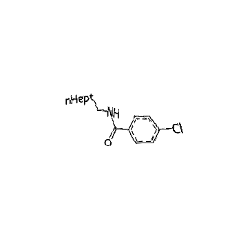 CCCCCCCCNC(=O)c1ccc(Cl)cc1